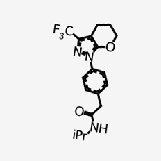 CC(C)NC(=O)Cc1ccc(-n2nc(C(F)(F)F)c3c2OCCC3)cc1